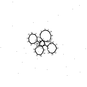 C1CCCCc2c(c(C3CCCCCCCC3)c3c(c2C2CCCCCCCC2)NCCCCCC3)NCCC1